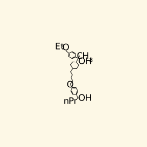 CCCC(O)c1ccc(OCCCCC2CCC(C(C)(O)c3ccc(COCC)cc3)CC2)cc1